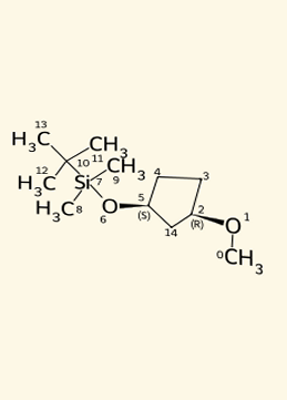 CO[C@@H]1CC[C@H](O[Si](C)(C)C(C)(C)C)C1